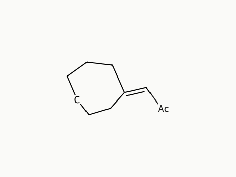 CC(=O)C=C1CCCCCC1